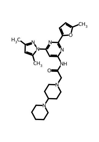 Cc1cc(C)n(-c2cc(NC(=O)CN3CCC(N4CCCCC4)CC3)nc(-c3ccc(C)o3)n2)n1